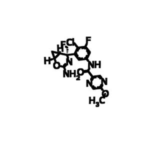 COc1cnc(C(=O)Nc2cc(F)c(Cl)c([C@@]3(CF)N=C(N)O[C@@H]4C[C@@H]43)c2)cn1